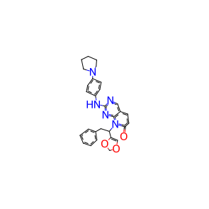 O=c1ccc2cnc(Nc3ccc(N4CCCCC4)cc3)nc2n1C(Cc1ccccc1)C1=COCO1